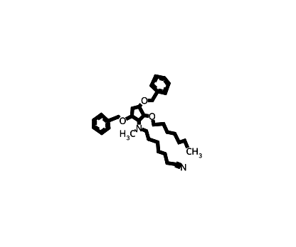 CCCCCCCOC1C(OCc2ccccc2)CC(OCc2ccccc2)C1N(C)CCCCCCC#N